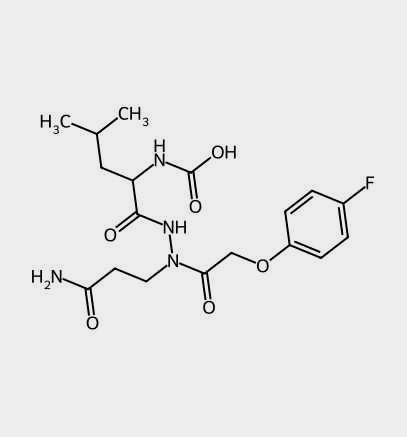 CC(C)CC(NC(=O)O)C(=O)NN(CCC(N)=O)C(=O)COc1ccc(F)cc1